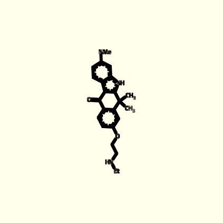 CCNCCOc1ccc2c(c1)C(C)(C)c1[nH]c3cc(NC)ccc3c1C2=O